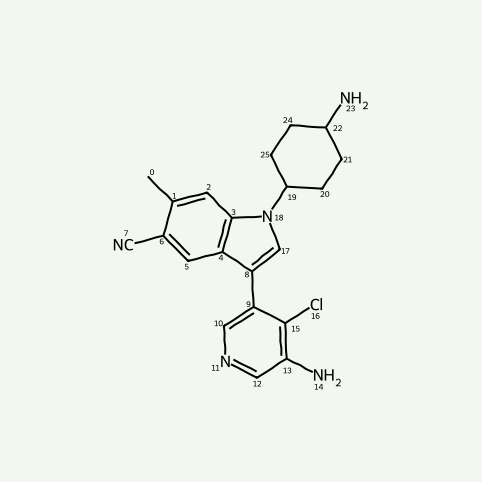 Cc1cc2c(cc1C#N)c(-c1cncc(N)c1Cl)cn2C1CCC(N)CC1